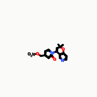 CC1(C)C=C(n2ccc(CO[N+](=O)[O-])cc2=O)c2cnccc2O1